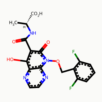 C[C@@H](NC(=O)c1c(O)c2nccnc2n(OCc2c(F)cccc2F)c1=O)C(=O)O